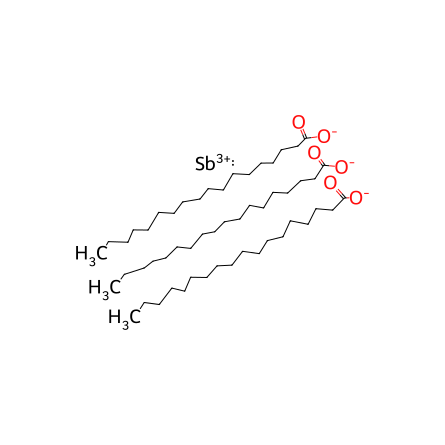 CCCCCCCCCCCCCCCCCC(=O)[O-].CCCCCCCCCCCCCCCCCC(=O)[O-].CCCCCCCCCCCCCCCCCC(=O)[O-].[Sb+3]